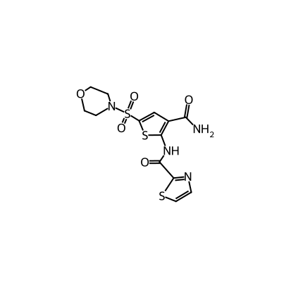 NC(=O)c1cc(S(=O)(=O)N2CCOCC2)sc1NC(=O)c1nccs1